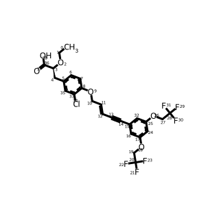 CCO[C@@H](Cc1ccc(OCC=CC#Cc2cc(OCC(F)(F)F)cc(OCC(F)(F)F)c2)c(Cl)c1)C(=O)O